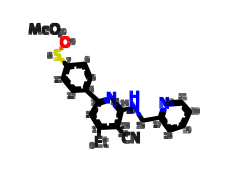 CCc1cc(-c2ccc(SOOC)cc2)nc(NCc2ccccn2)c1C#N